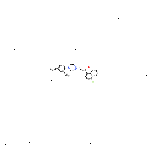 O=[N+]([O-])c1ccc(N2CCN(CCC(O)c3ccc(F)c4ccccc34)CC2)c(C(F)(F)F)c1